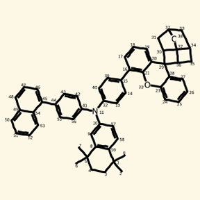 CC1(C)CCC(C)(C)c2cc(N(c3ccc(-c4cccc5c4Oc4ccccc4C54C5CC6CC7CC4C75C6)cc3)c3ccc(-c4cccc5ccccc45)cc3)ccc21